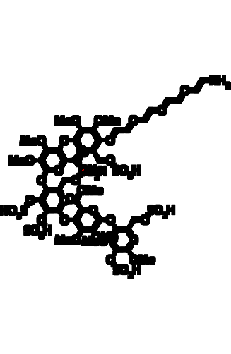 COC(=O)[C@H]1O[C@@H](O[C@H]2[C@H](OS(=O)(=O)O)[C@@H](OS(=O)(=O)O)[C@@H](O[C@H]3[C@H](OC)[C@@H](OC)[C@H](O[C@H]4[C@H](OC)[C@@H](OS(=O)(=O)O)[C@@H](OC)O[C@@H]4COS(=O)(=O)O)O[C@@H]3C(=O)OC)O[C@@H]2COS(=O)(=O)O)[C@H](OC)[C@@H](OC)[C@@H]1O[C@H]1O[C@H](COS(=O)(=O)O)[C@@H](OCCOCCOCCOCCN)[C@H](OC)[C@H]1OC